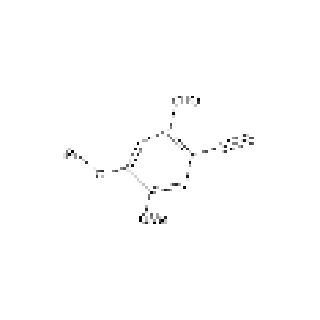 C#Cc1cc(OC)c(OC(C)C)cc1C=O